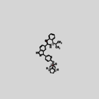 CC(C)[C@H](NC(=O)c1ccc2[nH]nc(-c3ccc(O[C@H]4C[C@H]5CC[C@@H](C4)N5C=O)nc3)c2c1)c1ccccc1Cl